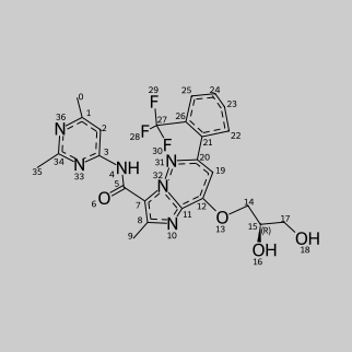 Cc1cc(NC(=O)c2c(C)nc3c(OC[C@H](O)CO)cc(-c4ccccc4C(F)(F)F)nn23)nc(C)n1